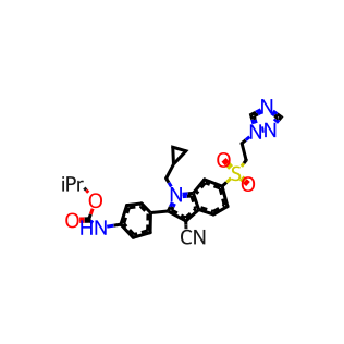 CC(C)OC(=O)Nc1ccc(-c2c(C#N)c3ccc(S(=O)(=O)CCn4cncn4)cc3n2CC2CC2)cc1